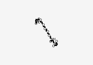 O=C(CCN1C(=O)CCC1=O)NCCOCCOCCOCCOCCC(=O)ON1C(=O)CCC1=O